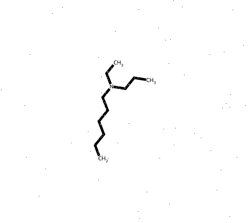 [CH2]CCCCCN(CC)CCC